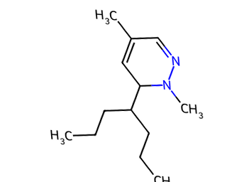 CCCC(CCC)C1C=C(C)C=NN1C